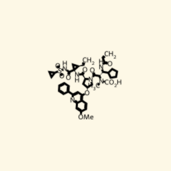 C=CC(=O)NC(C1CCCC1)[C@@H](C(=O)N1C[C@H](Oc2cc(-c3ccccc3)nc3cc(OC)ccc23)C[C@H]1C(=O)N[C@]1(C(=O)NS(=O)(=O)C2CC2)C[C@H]1C=C)N(C)C(=O)O